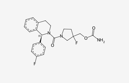 NC(=O)OCC1(F)CCN(C(=O)N2CCc3ccccc3[C@@H]2c2ccc(F)cc2)C1